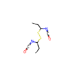 CCC(N=C=O)SSC(CC)N=C=O